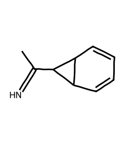 CC(=N)C1C2C=CC=CC21